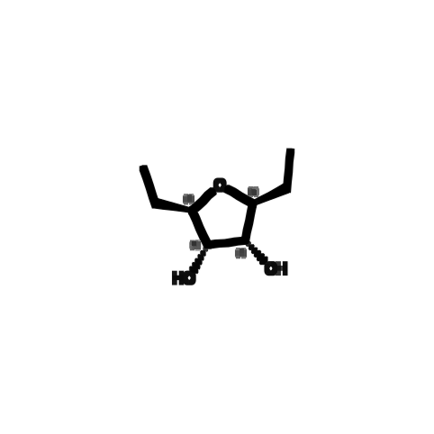 CC[C@@H]1O[C@H](CC)[C@@H](O)[C@H]1O